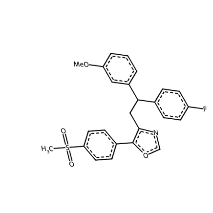 COc1cccc(C(Cc2ncoc2-c2ccc(S(C)(=O)=O)cc2)c2ccc(F)cc2)c1